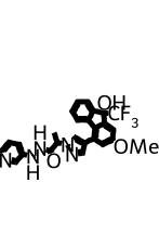 COc1cc(-c2cnn(C(C)C(=O)NNc3cccnc3)c2)c2c(c1)C(O)(C(F)(F)F)c1ccccc1-2